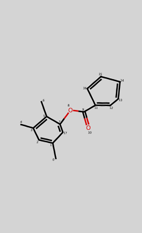 Cc1cc(C)c(C)c(OC(=O)c2ccccc2)c1